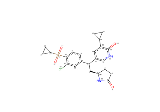 O=C1CC[C@H](CC(c2ccc(S(=O)(=O)C3CC3)c(Cl)c2)c2c[nH]c(=O)c(C3CC3)c2)N1